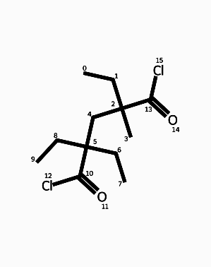 CCC(C)(CC(CC)(CC)C(=O)Cl)C(=O)Cl